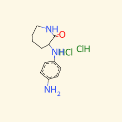 Cl.Cl.Nc1ccc(NC2CCCCNC2=O)cc1